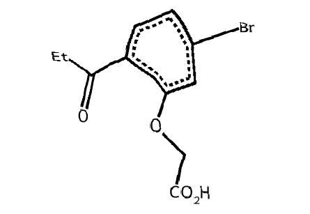 CCC(=O)c1ccc(Br)cc1OCC(=O)O